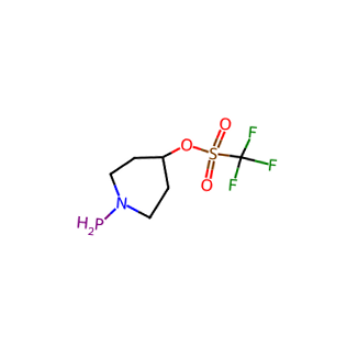 O=S(=O)(OC1CCN(P)CC1)C(F)(F)F